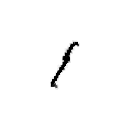 CCCCCCCCCCCCCCCCCc1cc[n+](CCCCCCCCC)cc1